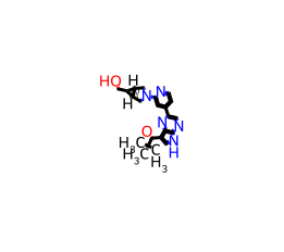 CC(C)(C)C(=O)c1c[nH]c2ncc(-c3ccnc(N4C[C@@H]5C(CO)[C@@H]5C4)c3)nc12